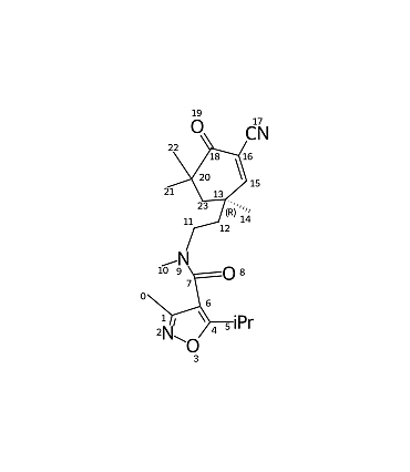 Cc1noc(C(C)C)c1C(=O)N(C)CC[C@]1(C)C=C(C#N)C(=O)C(C)(C)C1